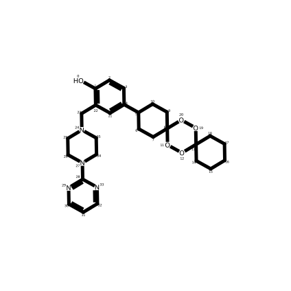 Oc1ccc(C2CCC3(CC2)OOC2(CCCCC2)OO3)cc1CN1CCN(c2ncccn2)CC1